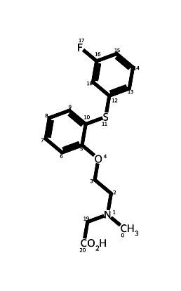 CN(CCOc1ccccc1Sc1cccc(F)c1)CC(=O)O